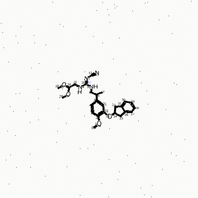 COc1ccc(C(C)CN/C(=N\C#N)NCC(OC)OC)cc1OC1Cc2ccccc2C1